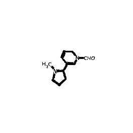 CN1CCCC1C1=CN(C=O)CC=C1